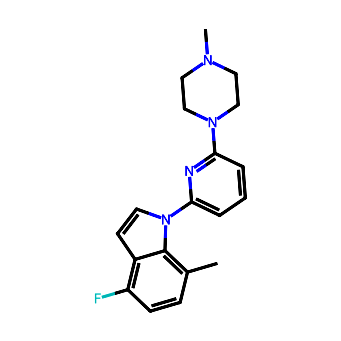 Cc1ccc(F)c2ccn(-c3cccc(N4CCN(C)CC4)n3)c12